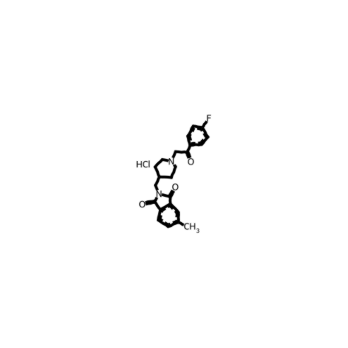 Cc1ccc2c(c1)C(=O)N(CC1CCN(CC(=O)c3ccc(F)cc3)CC1)C2=O.Cl